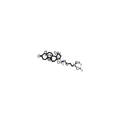 CC(=O)O[C@]12CC[C@H](/C=N/OCCN(C)C)[C@@]1(C)CC[C@H]1[C@H]2CC[C@@H]2CC(=O)CC[C@@]21C